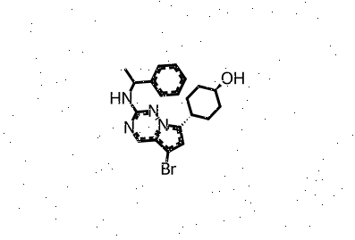 CC(Nc1ncc2c(Br)cc([C@H]3CC[C@H](O)CC3)n2n1)c1ccccc1